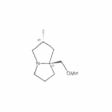 COC[C@@]12CCCN1C[C@H](C)C2